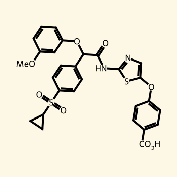 COc1cccc(OC(C(=O)Nc2ncc(Oc3ccc(C(=O)O)cc3)s2)c2ccc(S(=O)(=O)C3CC3)cc2)c1